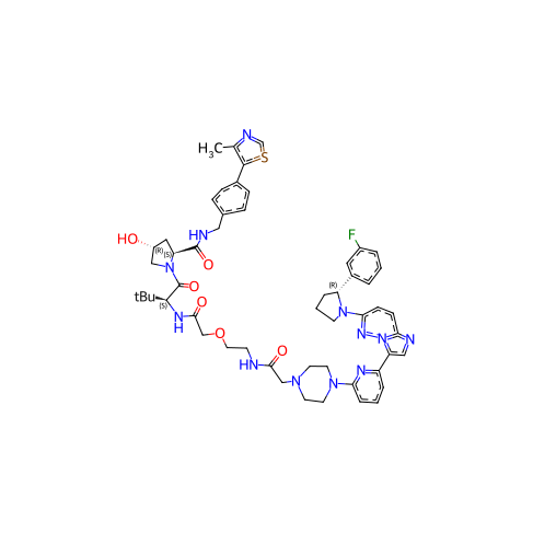 Cc1ncsc1-c1ccc(CNC(=O)[C@@H]2C[C@@H](O)CN2C(=O)[C@@H](NC(=O)COCCNC(=O)CN2CCN(c3cccc(-c4cnc5ccc(N6CCC[C@@H]6c6cccc(F)c6)nn45)n3)CC2)C(C)(C)C)cc1